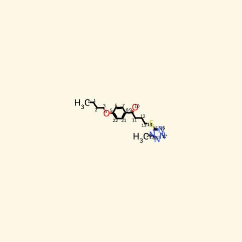 CCCCOc1ccc(C(=O)CCCSc2nnnn2C)cc1